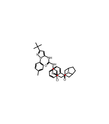 Cc1ccc(-n2nc(C(C)(C)C)cc2NC(=O)Nc2cccc(CC3CC4CCC(C3)N4C(=O)c3cccnc3Cl)c2)cc1